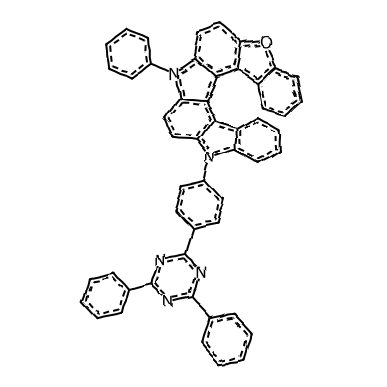 c1ccc(-c2nc(-c3ccccc3)nc(-c3ccc(-n4c5ccccc5c5c6c7c8c(ccc7n(-c7ccccc7)c6ccc54)oc4ccccc48)cc3)n2)cc1